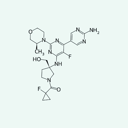 C[C@H]1COCCN1c1nc(N[C@@]2(CO)CCN(C(=O)C3(F)CC3)C2)c(F)c(-c2cnc(N)nc2)n1